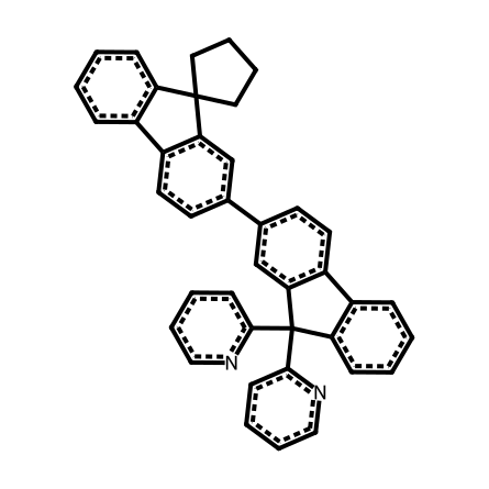 c1ccc(C2(c3ccccn3)c3ccccc3-c3ccc(-c4ccc5c(c4)C4(CCCC4)c4ccccc4-5)cc32)nc1